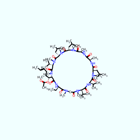 C/C=C/C[C@@H](C)[C@@H](OC(C)=O)[C@H]1C(=O)N[C@H](CC)C(=O)N(C)CC(=O)N(C)[C@H](C(C)C)C(=O)N[C@H](C(C)C)C(=O)N(C)[C@H](CC(C)C)C(=O)N[C@H](C)C(=O)N[C@@H](C)C(=O)N(C)[C@@H](CC(C)C)C(=O)N(C)[C@@H](CC(C)C)C(=O)N(C)[C@@H](C(C)C)C(=O)N1C